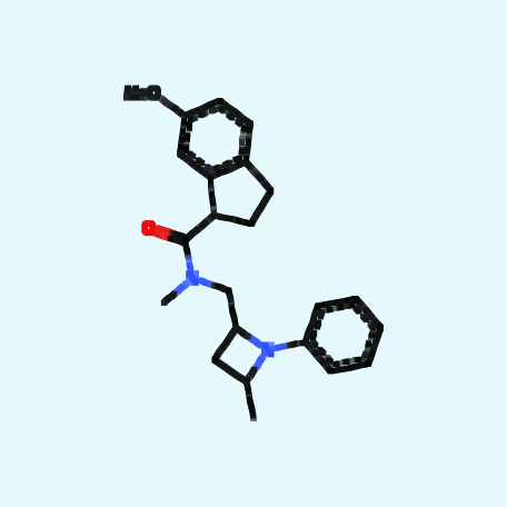 COc1ccc2c(c1)C(C(=O)N(C)CC1CC(C)N1c1ccccc1)CC2